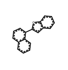 [c]1ccc2ccccc2c1-c1cc2ccccc2o1